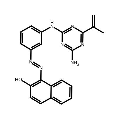 C=C(C)c1nc(N)nc(Nc2cccc(N=Nc3c(O)ccc4ccccc34)c2)n1